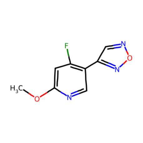 COc1cc(F)c(-c2cnon2)cn1